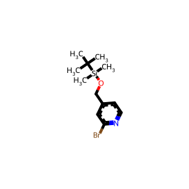 CC(C)(C)[Si](C)(C)OCc1ccnc(Br)c1